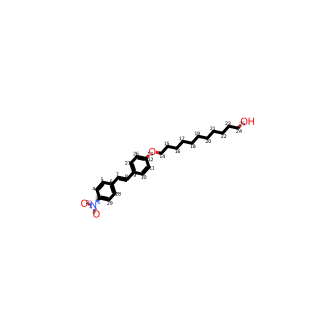 O=[N+]([O-])c1ccc(C=Cc2ccc(OCCCCCCCCCCCO)cc2)cc1